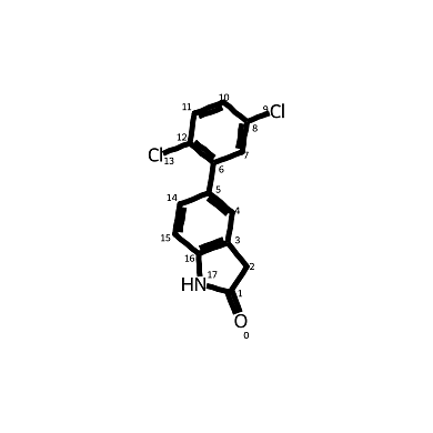 O=C1Cc2cc(-c3cc(Cl)ccc3Cl)ccc2N1